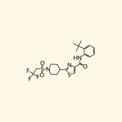 CC(C)(C)c1ccccc1NC(=O)c1csc(C2CCN(S(=O)(=O)CC(F)(F)F)CC2)n1